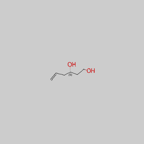 C=CC[C@H](O)CCO